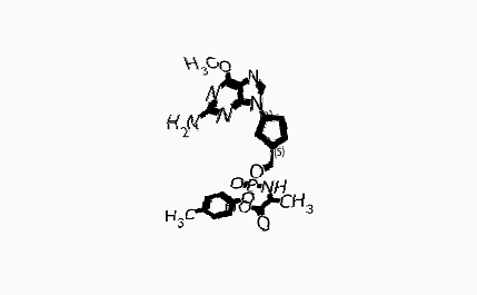 COc1nc(N)nc2c1ncn2[C@H]1C=C[C@@H](COP(=O)(NC(C)C(=O)O)Oc2ccc(C)cc2)C1